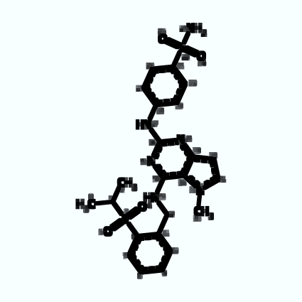 CC(C)S(=O)(=O)c1ccccc1CNc1nc(Nc2ccc(S(N)(=O)=O)cc2)nc2ccn(C)c12